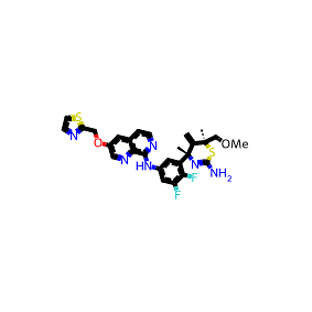 C=C1[C@@](C)(COC)SC(N)=N[C@]1(C)c1cc(Nc2nccc3cc(OCc4nccs4)cnc23)cc(F)c1F